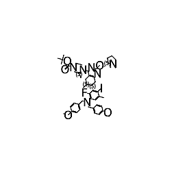 COc1ccc(CN(Cc2ccc(OC)cc2)c2cc(C)c(I)c([C@H]3Cc4nc(OC[C@@H]5CCCN5C)nc(N5CCN(C(=O)OC(C)(C)C)C[C@@H]5C)c4C[C@@H]3C)c2F)cc1